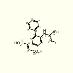 CN=C(Nc1ccccc1-c1ccccc1)C(C)(C)C.O=C(O)C=CC(=O)O